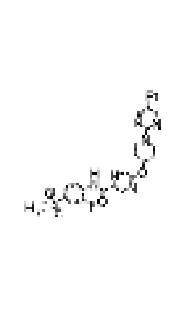 CCc1cnc(N2CCC(Oc3cnc(C(=O)Nc4ccc(S(C)(=O)=O)cc4F)cn3)CC2)nc1